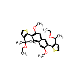 CCOC(C)c1ccsc1-c1cc2cc(OC)c(-c3sccc3C(C)(C)OCC)cc2cc1OC